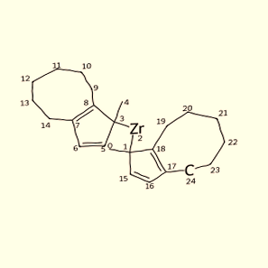 C[C]1([Zr][C]2(C)C=CC3=C2CCCCCC3)C=CC2=C1CCCCCC2